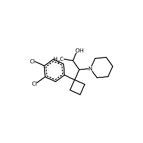 CC(O)C(N1CCCCC1)C1(c2ccc(Cl)c(Cl)c2)CCC1